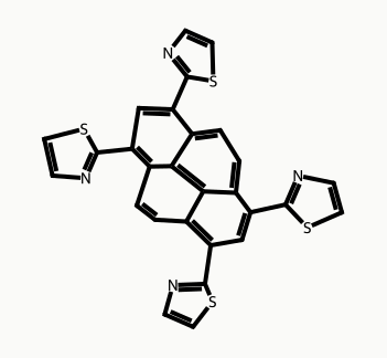 c1csc(-c2cc(-c3nccs3)c3ccc4c(-c5nccs5)cc(-c5nccs5)c5ccc2c3c54)n1